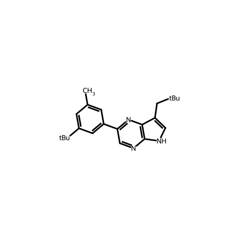 Cc1cc(-c2cnc3[nH]cc(CC(C)(C)C)c3n2)cc(C(C)(C)C)c1